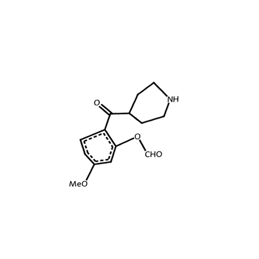 COc1ccc(C(=O)C2CCNCC2)c(OC=O)c1